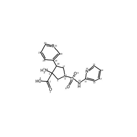 NC1(C(=O)O)CN(S(=O)(=O)Nc2ccccn2)CC1c1cbccc1